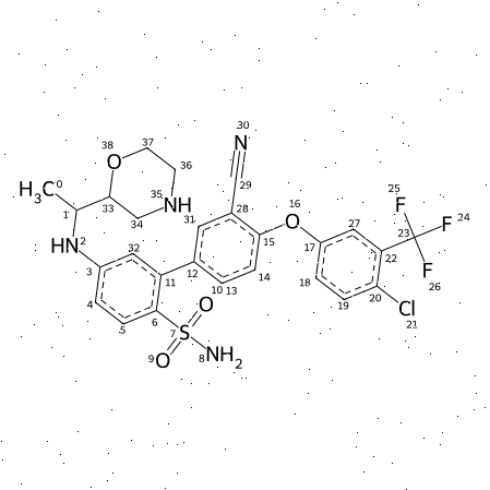 CC(Nc1ccc(S(N)(=O)=O)c(-c2ccc(Oc3ccc(Cl)c(C(F)(F)F)c3)c(C#N)c2)c1)C1CNCCO1